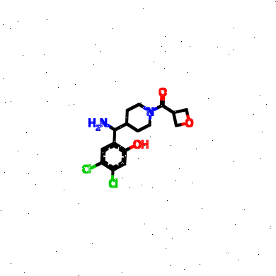 NC(c1cc(Cl)c(Cl)cc1O)C1CCN(C(=O)C2COC2)CC1